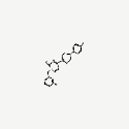 O=c1nc(N2CCN(c3ccc(F)cc3)CC2)ncn1Cc1cccc(F)c1